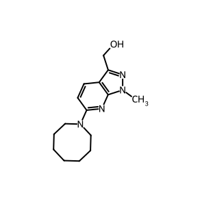 Cn1nc(CO)c2ccc(N3CCCCCCC3)nc21